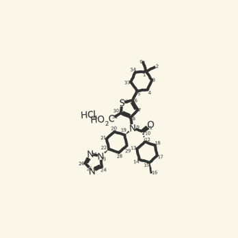 CC1(C)CCC(c2cc(N(C(=O)[C@H]3CC[C@H](C)CC3)[C@H]3CC[C@@H](n4cncn4)CC3)c(C(=O)O)s2)CC1.Cl